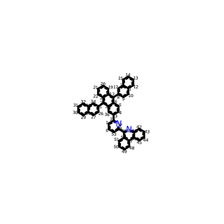 c1cc(-c2ccc3c(-c4ccc5ccccc5c4)c4ccccc4c(-c4ccc5ccccc5c4)c3c2)nc(-c2nc3ccccc3c3ccccc23)c1